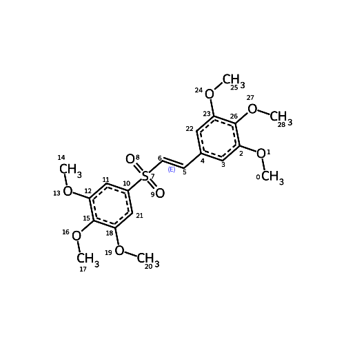 COc1cc(/C=C/S(=O)(=O)c2cc(OC)c(OC)c(OC)c2)cc(OC)c1OC